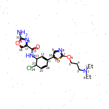 CCN(CC)CCCOc1ncc(C2=CC(NC(=O)c3coc(N)n3)C(Cl)C=C2)s1